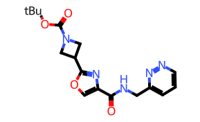 CC(C)(C)OC(=O)N1CC(c2nc(C(=O)NCc3cccnn3)co2)C1